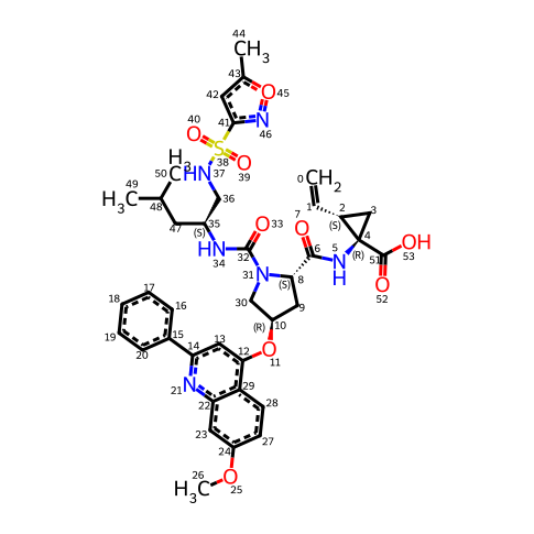 C=C[C@@H]1C[C@]1(NC(=O)[C@@H]1C[C@@H](Oc2cc(-c3ccccc3)nc3cc(OC)ccc23)CN1C(=O)N[C@H](CNS(=O)(=O)c1cc(C)on1)CC(C)C)C(=O)O